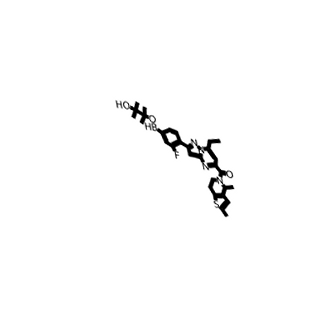 CCc1cc(C(=O)N2CCc3sc(C)cc3C2C)nc2cc(-c3ccc(BOC(C)(C)C(C)(C)O)cc3F)nn12